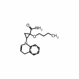 CCCCOC1(C(N)=O)CC1N1C=CCc2ccccc21